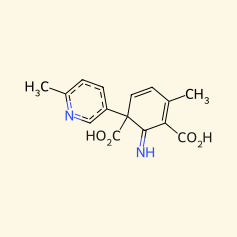 CC1=C(C(=O)O)C(=N)C(C(=O)O)(c2ccc(C)nc2)C=C1